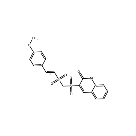 COc1ccc(/C=C/S(=O)(=O)CS(=O)(=O)c2cc3ccccc3[nH]c2=O)cc1